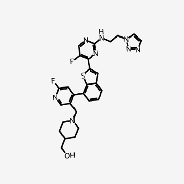 OCC1CCN(Cc2cnc(F)cc2-c2cccc3cc(-c4nc(NCCn5ccnn5)ncc4F)sc23)CC1